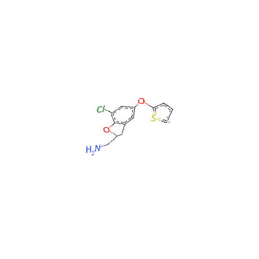 NCC1Cc2cc(Oc3cc[c]s3)cc(Cl)c2O1